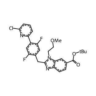 COCCn1c(Cc2cc(F)c(-c3cccc(Cl)n3)cc2F)nc2ccc(C(=O)OC(C)(C)C)cc21